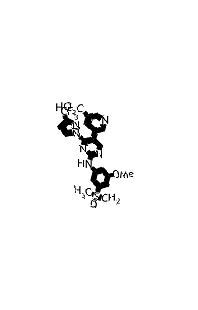 C=S(C)(=O)c1cc(Nc2ncc(-c3cncc(C(=O)O)c3)c(-n3ccc(C(F)(F)F)n3)n2)cc(OC)c1